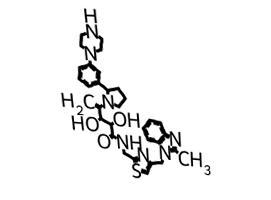 C=C(C(O)C(O)C(=O)NCc1nc(Cn2c(C)nc3ccccc32)cs1)N1CCCC1c1cccc(N2CCNCC2)c1